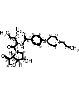 CCCN1CCN(c2ccc(C(=O)N[C@H](C(=O)N3C[C@H](O)[C@H]4OCC(=O)[C@H]43)[C@@H](C)CC)cc2)CC1